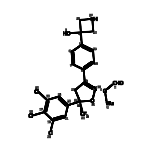 CC(C)(C)OC=O.OC1(c2ccc(C3=NO[C@@](c4cc(Cl)c(Cl)c(Cl)c4)(C(F)(F)F)C3)cc2)CNC1